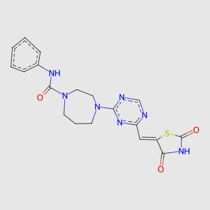 O=C1NC(=O)/C(=C/c2ncnc(N3CCCN(C(=O)Nc4ccccc4)CC3)n2)S1